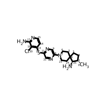 C[C@H]1CCC2(CCN(c3cnc(Sc4ccnc(N)c4Cl)cn3)CC2)[C@@H]1N